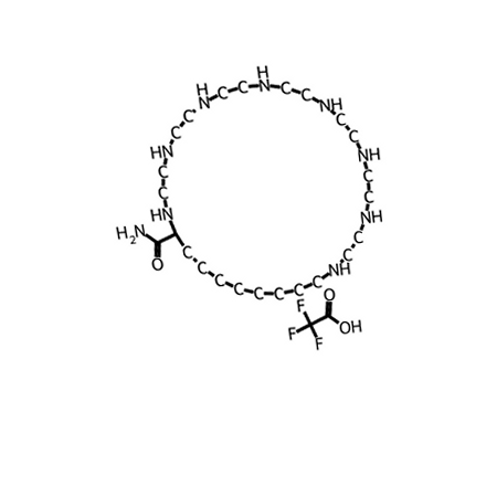 NC(=O)C1CCCCCCCCNCCNCCNCCNCCNCCNCCNCCN1.O=C(O)C(F)(F)F